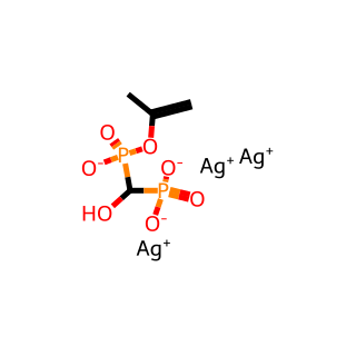 C=C(C)OP(=O)([O-])C(O)P(=O)([O-])[O-].[Ag+].[Ag+].[Ag+]